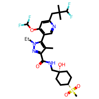 CCn1nc(C(=O)NC[C@]2(O)CC[C@@H](S(C)(=O)=O)CC2)c(C)c1-c1cnc(CC(C)(C)C(F)F)cc1OC(F)F